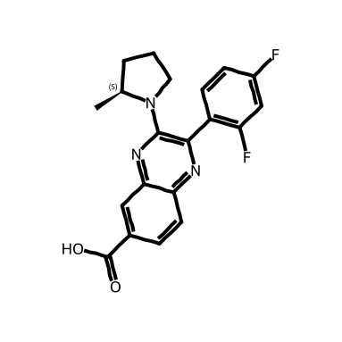 C[C@H]1CCCN1c1nc2cc(C(=O)O)ccc2nc1-c1ccc(F)cc1F